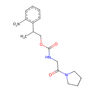 CC(COC(=O)NCC(=O)N1CCCC1)c1ccccc1[N+](=O)[O-]